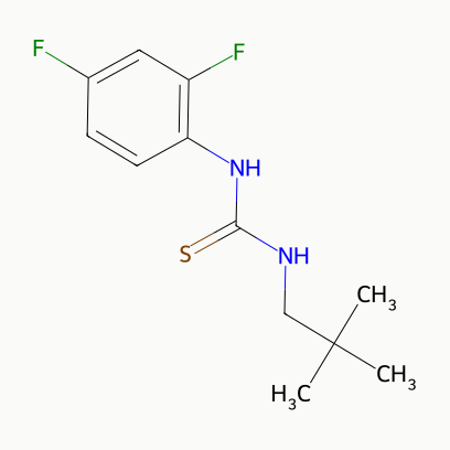 CC(C)(C)CNC(=S)Nc1ccc(F)cc1F